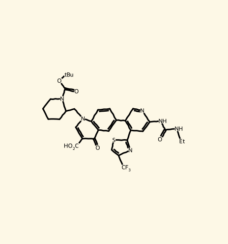 CCNC(=O)Nc1cc(-c2nc(C(F)(F)F)cs2)c(-c2ccc3c(c2)c(=O)c(C(=O)O)cn3CC2CCCCN2C(=O)OC(C)(C)C)cn1